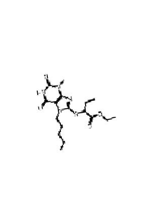 CCCCCn1c(SC(CC)C(=O)OCC)nc2c1c(=O)[nH]c(=O)n2C